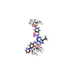 COc1cccnc1-c1ccc(CN(C(=O)OC(C)(C)C)c2cc(NC[C@H]3CCN(C(=O)OC(C)(C)C)C[C@@H]3O)nc3c(C4CC4)cnn23)cc1